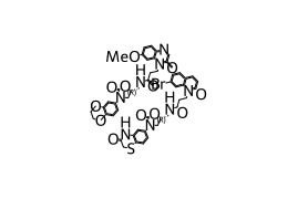 COc1ccc2ncc(=O)n(CCC(=O)NC[C@@H]3CN(c4ccc5c(c4)OCCO5)C(=O)O3)c2c1.O=C(CCn1c(=O)ccc2ccc(Br)cc21)NC[C@@H]1CN(c2ccc3c(c2)NC(=O)CS3)C(=O)O1